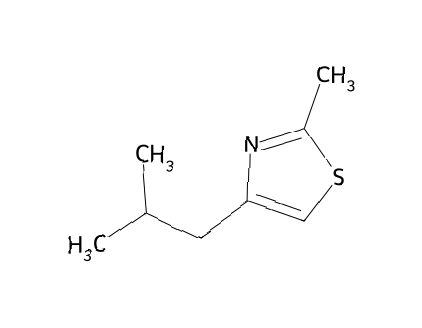 Cc1nc(CC(C)C)cs1